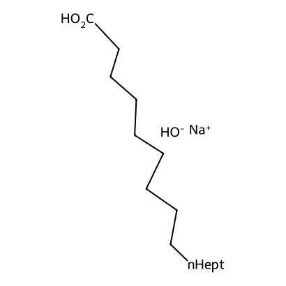 CCCCCCCCCCCCCCCC(=O)O.[Na+].[OH-]